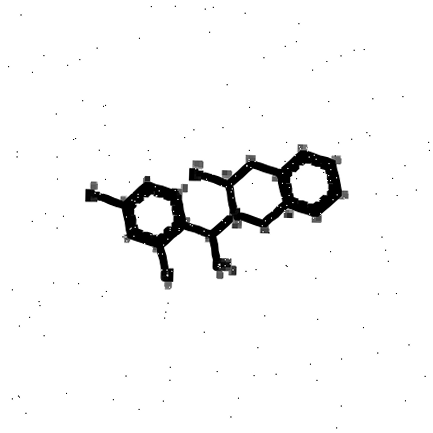 CC(c1ncc(Br)cc1Cl)N1Cc2ccccc2CC1Br